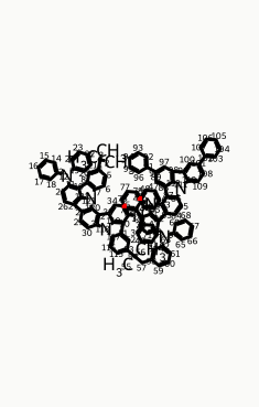 CC(C)(C)c1ccc2c(c1)c1c(N(c3ccccc3)c3ccccc3)ccc3c4ccc5c(c6ccc(N(c7ccccc7)c7ccccc7)c7c8cc(C(C)(C)Cc9cccc(N(c%10ccccc%10)c%10ccc%11c%12ccccc%12n%12c%11c%10c%10ccc%11c(c%13cc(-c%14ccccc%14)cc%14c%15cc(-c%16ccccc%16)ccc%15n%11c%14%13)c%10%12)c9)ccc8n5c67)c4n2c31